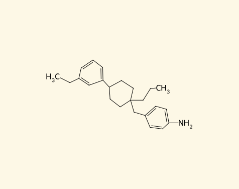 CCCC1(Cc2ccc(N)cc2)CCC(c2cccc(CC)c2)CC1